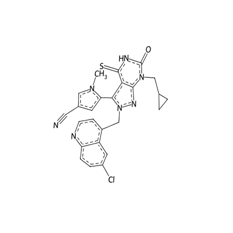 Cn1cc(C#N)cc1-c1c2c(=S)[nH]c(=O)n(CC3CC3)c2nn1Cc1ccnc2ccc(Cl)cc12